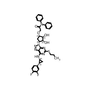 CCCSc1nc(N[C@@H]2C[C@H]2c2ccc(F)c(F)c2)c2nnn([C@@H]3C[C@H](OCC(=O)N(c4ccccc4)c4ccccc4)[C@@H](O)[C@H]3O)c2n1